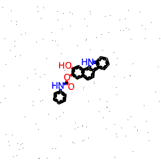 O=C(Nc1ccccc1)Oc1cc2ccc3c4ccccc4[nH]c3c2cc1O